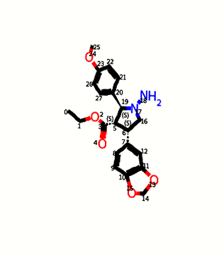 CCOC(=O)[C@H]1[C@@H](c2ccc3c(c2)OCO3)CN(N)[C@@H]1c1ccc(OC)cc1